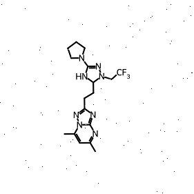 Cc1cc(C)n2nc(CCC3NC(N4CCCC4)=NN3CC(F)(F)F)nc2n1